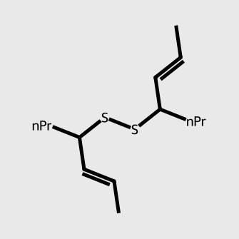 CC=CC(CCC)SSC(C=CC)CCC